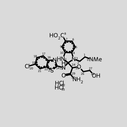 CNCCN1c2ccc(C(=O)O)cc2NC1(Nc1nc2ccc(Cl)cc2s1)C(OCCO)C(N)=O.Cl.Cl